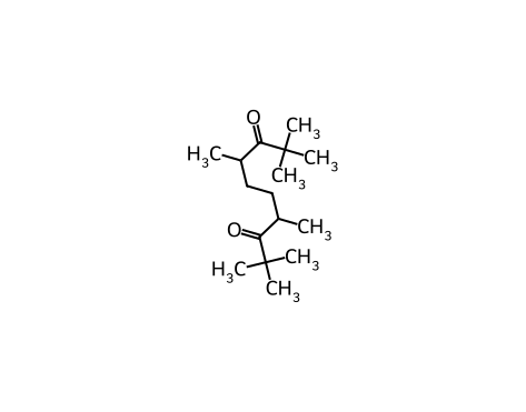 CC(CCC(C)C(=O)C(C)(C)C)C(=O)C(C)(C)C